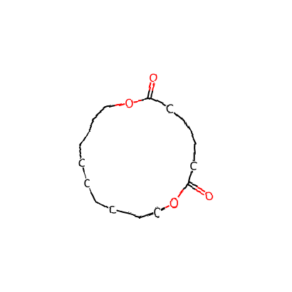 O=C1CCCCC(=O)OCCCCCCCCCO1